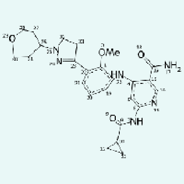 COc1c(Nc2cc(NC(=O)C3CC3)ncc2C(N)=O)cccc1C1=NN(C2CCOCC2)CC1